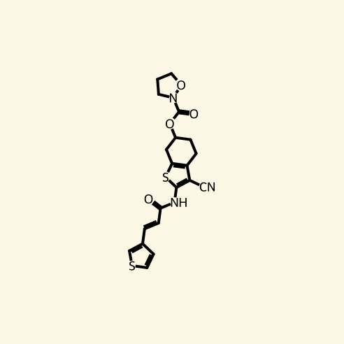 N#Cc1c(NC(=O)C=Cc2ccsc2)sc2c1CCC(OC(=O)N1CCCO1)C2